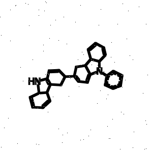 C1=CC2NC3=C(CC(C4=CC=C5C(C4)C4C=CC=CC4N5c4ccccc4)C=C3)C2C=C1